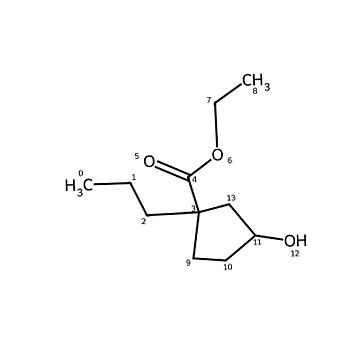 CCCC1(C(=O)OCC)CCC(O)C1